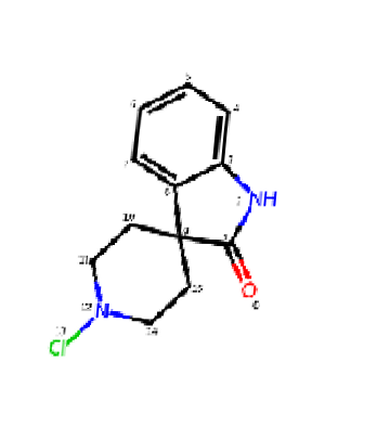 O=C1Nc2ccccc2C12CCN(Cl)CC2